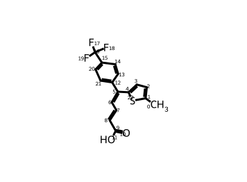 Cc1ccc(C(=CC=CC(=O)O)c2ccc(C(F)(F)F)cc2)s1